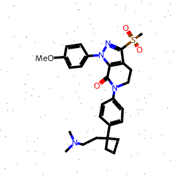 COc1ccc(-n2nc(S(C)(=O)=O)c3c2C(=O)N(c2ccc(C4(CCN(C)C)CCC4)cc2)CC3)cc1